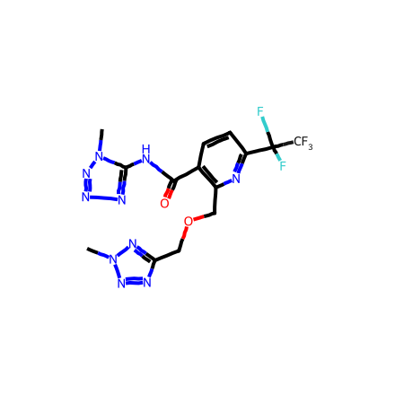 Cn1nnc(COCc2nc(C(F)(F)C(F)(F)F)ccc2C(=O)Nc2nnnn2C)n1